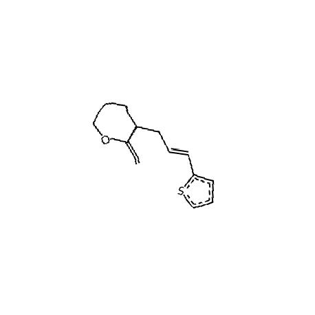 C=C1OCCCC1C/C=C/c1cccs1